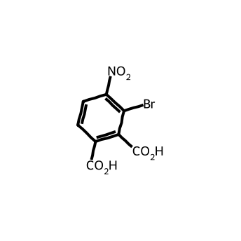 O=C(O)c1ccc([N+](=O)[O-])c(Br)c1C(=O)O